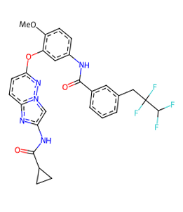 COc1ccc(NC(=O)c2cccc(CC(F)(F)C(F)F)c2)cc1Oc1ccc2nc(NC(=O)C3CC3)cn2n1